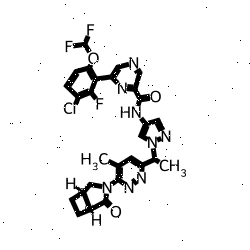 Cc1cc(C(C)n2cc(NC(=O)c3cncc(-c4c(OC(F)F)ccc(Cl)c4F)n3)cn2)nnc1N1C[C@H]2CC[C@H]2C1=O